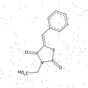 O=C(O)CN1C(=O)S/C(=C\c2ccccc2)C1=O